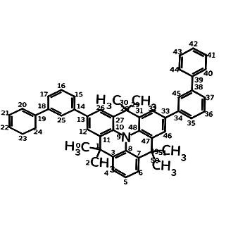 CC1(C)c2cccc3c2N2c4c1cc(-c1cccc(C5=CC=CCC5)c1)cc4C(C)(C)c1cc(-c4cccc(-c5ccccc5)c4)cc(c12)C3(C)C